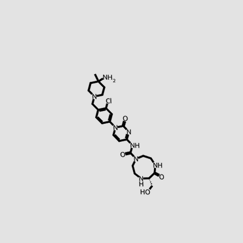 CC1(N)CCN(Cc2ccc(-n3ccc(NC(=O)N4CCNC(=O)[C@H](CO)NCC4)nc3=O)cc2Cl)CC1